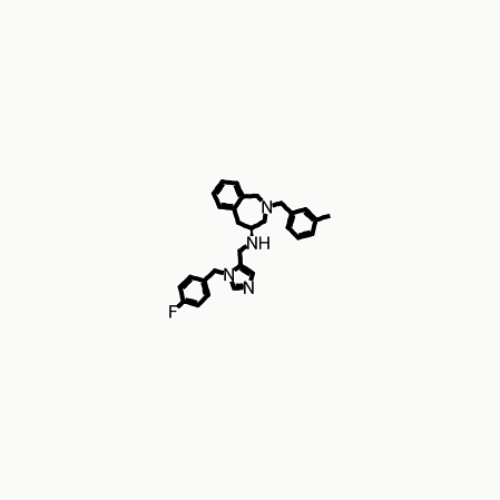 Cc1cccc(CN2Cc3ccccc3C[C@H](NCc3cncn3Cc3ccc(F)cc3)C2)c1